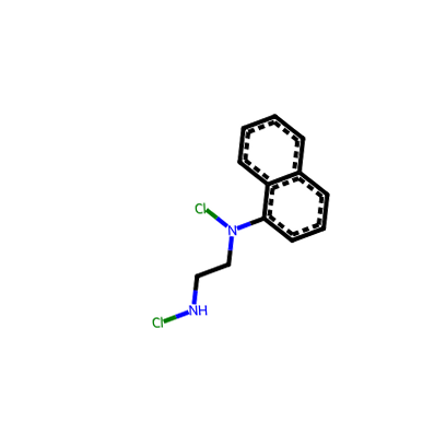 ClNCCN(Cl)c1cccc2ccccc12